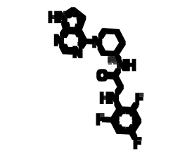 O=C(CNc1c(F)cc(F)cc1F)N[C@@H]1CCCN(c2ncnc3[nH]ccc23)C1